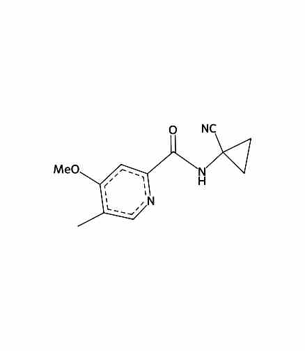 COc1cc(C(=O)NC2(C#N)CC2)ncc1C